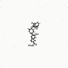 C=C1CN=C(c2cc3ccc(C(=O)NC)nc3cc2O)C=CC1O[C@@H]1C[C@H]2CCCC(N2)[C@@H]1F